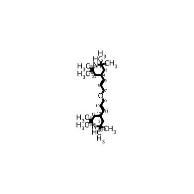 CC1(C)CC(C=CCOCC=CC2CC(C)(C)NC(C)(C)C2)CC(C)(C)N1